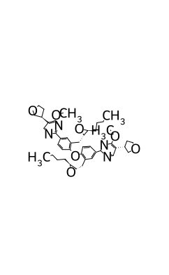 CCCC[C@@H]1O[C@H]1Cc1cc(-c2ncc([C@@H]3CCOC3)c(OC)n2)ccc1Oc1ccc(-c2ncc([C@@H]3CCOC3)c(OC)n2)cc1C[C@@H]1O[C@H]1CCCC